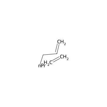 C=C.C=CCCCC